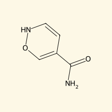 NC(=O)C1=CONC=C1